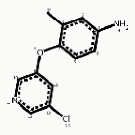 Cc1cc(N)ccc1Oc1cncc(Cl)c1